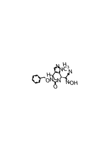 Cn1ncc2c1[C@@H](/C(C#N)=N/O)N1C[C@@H]2N(OCc2ccccc2)C1=O